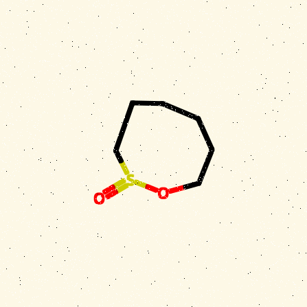 O=S1CCCCCCO1